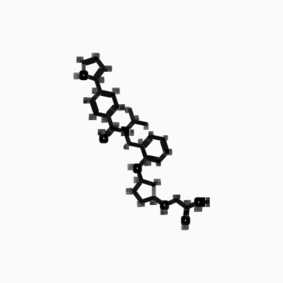 CC(C)N(Cc1ccccc1OC1CCC(OCC(=O)O)C1)C(=O)c1ccc(-c2ccco2)cc1